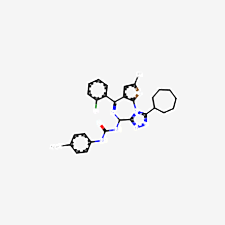 CCc1cc2c(s1)-n1c(C3CCCCCC3)nnc1C(NC(=O)Nc1ccc(OC)cc1)N=C2c1ccccc1Cl